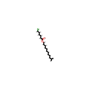 CC(C)CCCCCCCCCCOC(=O)CCCCCBr